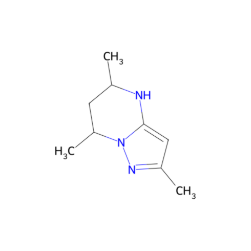 Cc1cc2n(n1)C(C)CC(C)N2